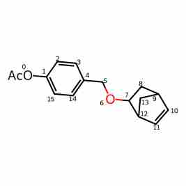 CC(=O)Oc1ccc(COC2CC3C=CC2C3)cc1